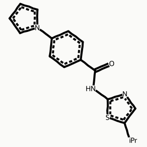 CC(C)c1cnc(NC(=O)c2ccc(-n3cccc3)cc2)s1